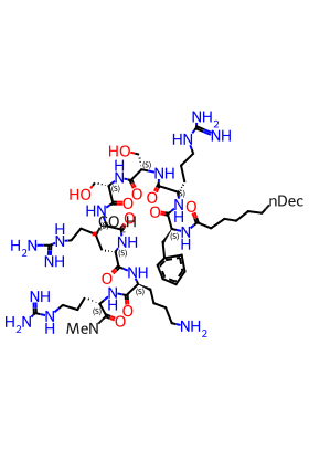 CCCCCCCCCCCCCCCC(=O)N[C@@H](Cc1ccccc1)C(=O)N[C@@H](CCCNC(=N)N)C(=O)N[C@@H](CO)C(=O)N[C@@H](CO)C(=O)N[C@@H](CCCNC(=N)N)C(=O)N[C@@H](CCC(=O)O)C(=O)N[C@@H](CCCCN)C(=O)N[C@@H](CCCNC(=N)N)C(=O)NC